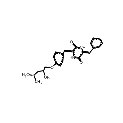 CN(C)CC(O)COc1ccc(/C=c2\[nH]c(=O)/c(=C/c3ccccc3)[nH]c2=O)cc1